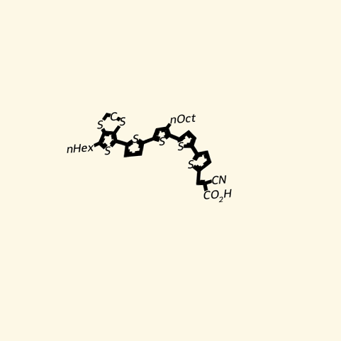 CCCCCCCCc1cc(-c2ccc(-c3sc(CCCCCC)c4c3SCCS4)s2)sc1-c1ccc(-c2ccc(/C=C(\C#N)C(=O)O)s2)s1